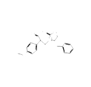 COc1ccc(C(C=O)CN2C(=O)OC[C@@H]2Cc2ccccc2)cc1